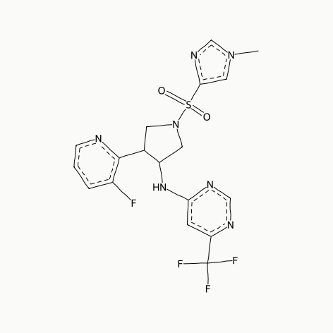 Cn1cnc(S(=O)(=O)N2CC(Nc3cc(C(F)(F)F)ncn3)C(c3ncccc3F)C2)c1